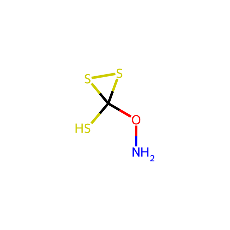 NOC1(S)SS1